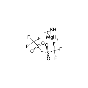 Cl.O=S(=O)(CS(=O)(=O)C(F)(F)F)C(F)(F)F.[KH].[MgH2]